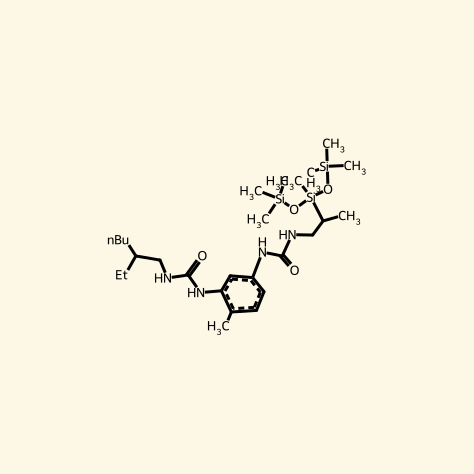 CCCCC(CC)CNC(=O)Nc1cc(NC(=O)NCC(C)[Si](C)(O[Si](C)(C)C)O[Si](C)(C)C)ccc1C